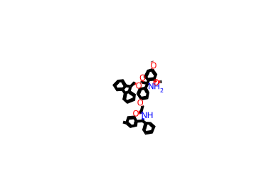 COc1ccc(C(N)(C(=O)OCC2c3ccccc3-c3ccccc32)c2ccc(OCC(=O)NC(c3ccccc3)c3ccc(C)cc3)cc2)c(OC)c1